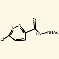 CC(=O)NNC(=O)c1ccc(Cl)nn1